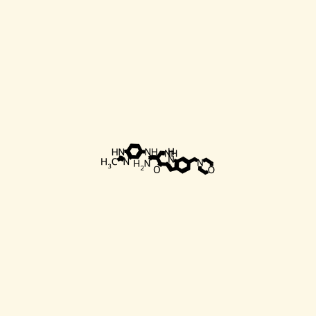 Cc1nc2cc(N/C(N)=C(\C=N)C(=O)c3cc4ccc(CN5CCOCC5)cc4[nH]3)ccc2[nH]1